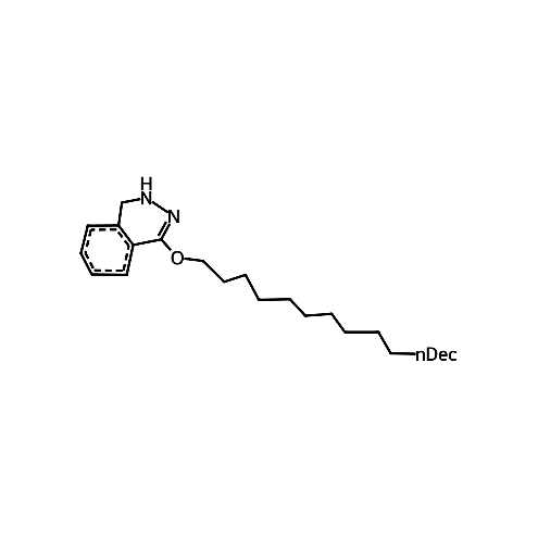 CCCCCCCCCCCCCCCCCCCCOC1=NNCc2ccccc21